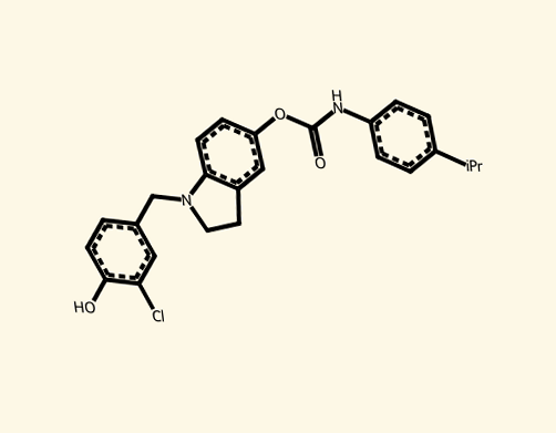 CC(C)c1ccc(NC(=O)Oc2ccc3c(c2)CCN3Cc2ccc(O)c(Cl)c2)cc1